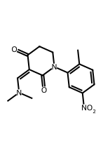 Cc1ccc([N+](=O)[O-])cc1N1CCC(=O)/C(=C/N(C)C)C1=O